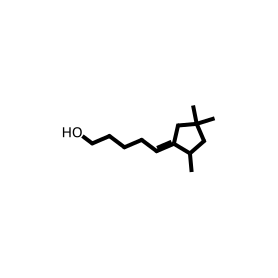 CC1CC(C)(C)CC1=CCCCCO